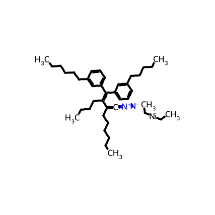 CCCCCCC(=C=[N+]=[N-])C(CCCC)=C(c1cccc(CCCCC)c1)c1cccc(CCCCCC)c1.C[CH2][Ni][CH2]C